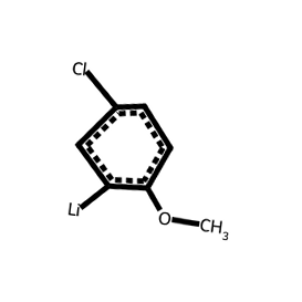 [Li][c]1cc(Cl)ccc1OC